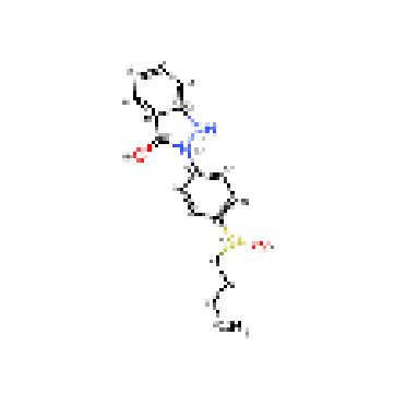 CCCC[S+]([O-])c1ccc(-n2[nH]c3ccccc3c2=O)cc1